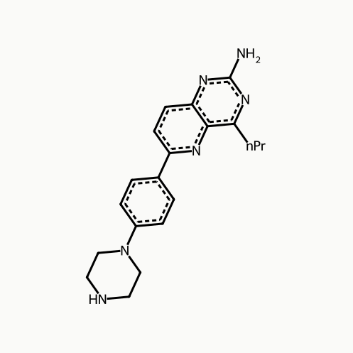 CCCc1nc(N)nc2ccc(-c3ccc(N4CCNCC4)cc3)nc12